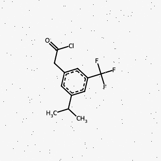 CC(C)c1cc(CC(=O)Cl)cc(C(F)(F)F)c1